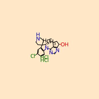 C[C@@H]1C[C@@H](O)c2ncnc(N3c4ccc(Cl)cc4C4(CCNCC4)[C@H]3C)c21.Cl.Cl